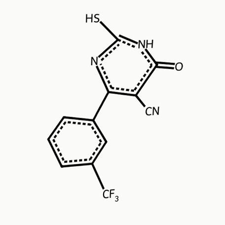 N#Cc1c(-c2cccc(C(F)(F)F)c2)nc(S)[nH]c1=O